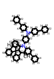 C=CC1=C(/C(=C\C)N(c2ccc(-c3ccccc3)cc2)c2ccc(N(c3ccc(-c4ccccc4)cc3)c3ccc(-c4ccccc4)cc3)cc2)C2(c3ccccc31)c1ccccc1-c1ccccc12